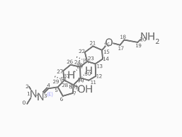 CN(C)/N=C/C1CC[C@@]2(O)[C@@H]3CCC4CC(OCCCN)CC[C@]4(C)[C@@H]3CC[C@]12C